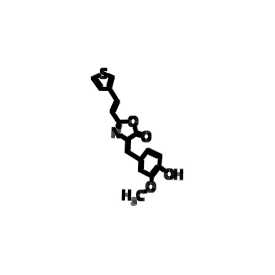 COc1cc(C=C2N=C(C=Cc3ccsc3)OC2=O)ccc1O